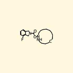 O=C(ON1CCCCCCCCCCCCCN1)N1Cc2cccc(F)c2C1